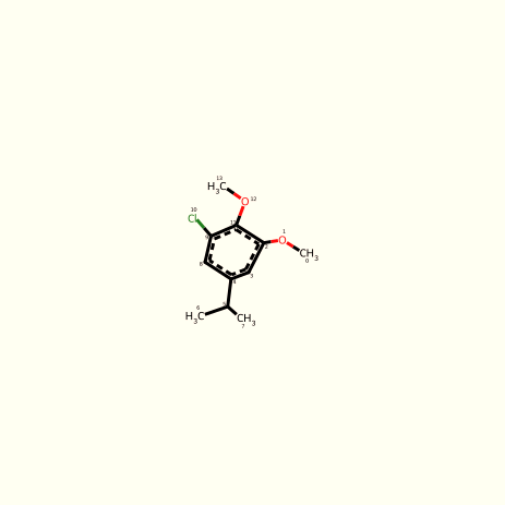 COc1cc(C(C)C)cc(Cl)c1OC